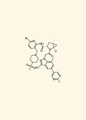 CC(=O)c1nn(CC(=O)N2[C@H](C(=O)Nc3nc(Br)ccc3CN3CCC(S(C)(=O)=O)CC3)C[C@@]3(C)C[C@@H]23)c2c(C)cc(-c3cnc(C)nc3)cc12